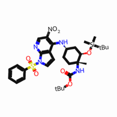 CC(C)(C)OC(=O)N[C@]1(C)CC[C@H](Nc2c([N+](=O)[O-])cnc3c2ccn3S(=O)(=O)c2ccccc2)C[C@H]1O[Si](C)(C)C(C)(C)C